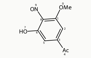 COc1cc(C(C)=O)cc(O)c1N=O